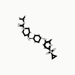 Cc1nc(S(=O)(=O)C2CC2)ccc1O[C@H]1CC[C@H](OC2CCN(C(=O)OC(C)C)CC2)CC1